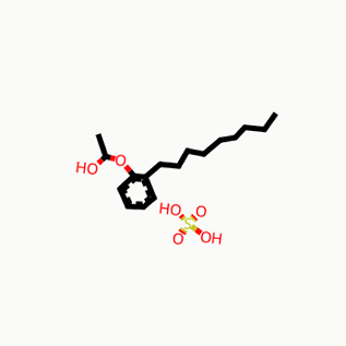 CCCCCCCCCc1ccccc1OC(C)O.O=S(=O)(O)O